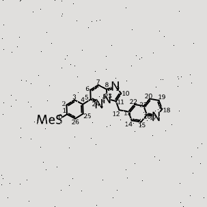 CSc1ccc(-c2ccc3ncc(Cc4ccc5ncccc5c4)n3n2)cc1